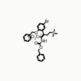 C[Si](C)(C)CC/C(=C(\NC(=O)OCc1ccccc1)C(=O)O)c1cc(Br)ccc1OCc1ccccc1